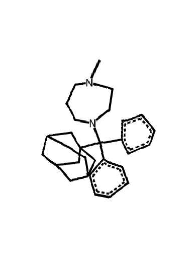 CN1CCCN(C(c2ccccc2)(c2ccccc2)C23CC4CC(CC(C4)C2)C3)CC1